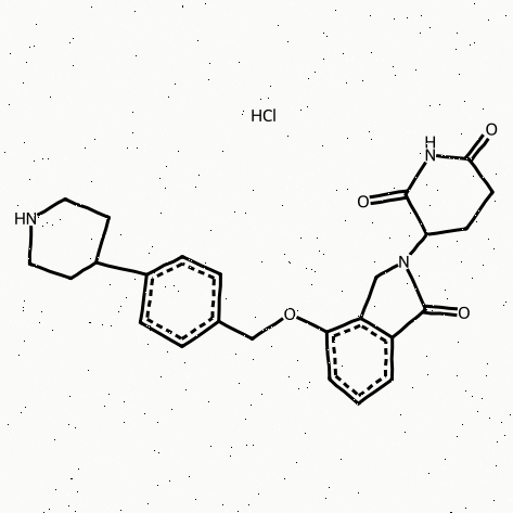 Cl.O=C1CCC(N2Cc3c(OCc4ccc(C5CCNCC5)cc4)cccc3C2=O)C(=O)N1